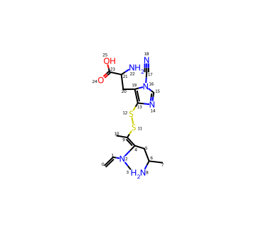 C=CN(C)/C(CC(C)N)=C(\C)SSc1ncn(C#N)c1CC(N)C(=O)O